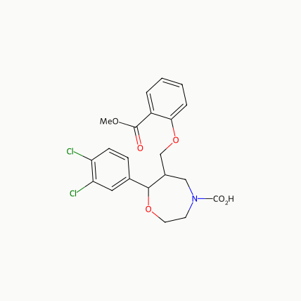 COC(=O)c1ccccc1OCC1CN(C(=O)O)CCOC1c1ccc(Cl)c(Cl)c1